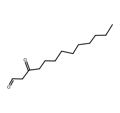 CCCCCCCCCCC(=O)C[C]=O